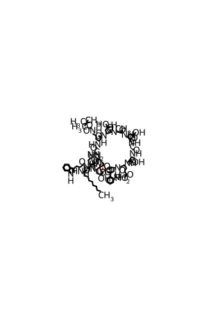 CCCCCCCCCC(=O)NC(Cc1c[nH]c2ccccc12)C(=O)NC(CC(N)=O)C(=O)NC(CC(=O)O)C(=O)NC1C(=O)NCC(=O)NC(CCCNC(=O)OC(C)(C)C)C(=O)NC(CC(=O)O)C(=O)NC(C)C(=O)NC(CC(=O)O)C(=O)NCC(=O)NC(CO)C(=O)NC(CCC(=O)O)C(=O)NC(CC(=O)c2ccccc2N)C(=O)OC1C